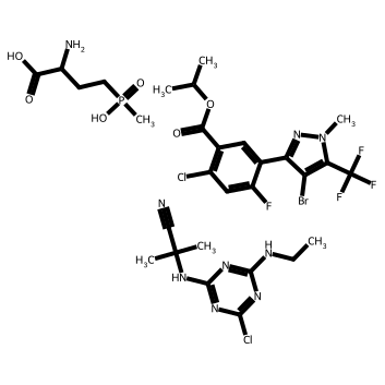 CC(C)OC(=O)c1cc(-c2nn(C)c(C(F)(F)F)c2Br)c(F)cc1Cl.CCNc1nc(Cl)nc(NC(C)(C)C#N)n1.CP(=O)(O)CCC(N)C(=O)O